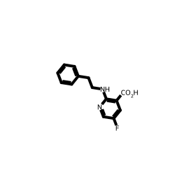 O=C(O)c1cc(F)cnc1NCCc1ccccc1